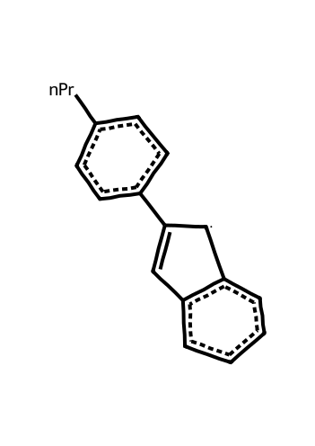 CCCc1ccc(C2=Cc3ccccc3[CH]2)cc1